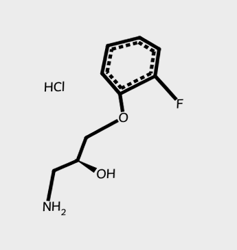 Cl.NC[C@H](O)COc1ccccc1F